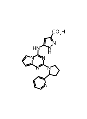 O=C(O)c1cc(Nc2nc(N3CCCC3c3ccccn3)nc3cccn23)[nH]n1